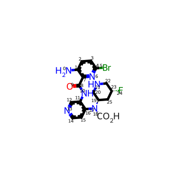 Nc1ccc(Br)nc1C(=O)Nc1cnccc1N(C(=O)O)[C@@H]1CNC[C@H](F)C1